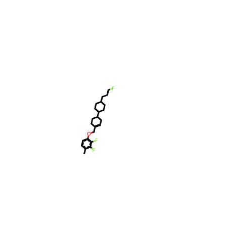 Cc1ccc(OCC2=CCC(C3CCC(CCCF)CC3)CC2)c(F)c1F